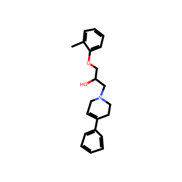 Cc1ccccc1OCC(O)CN1CC=C(c2ccccc2)CC1